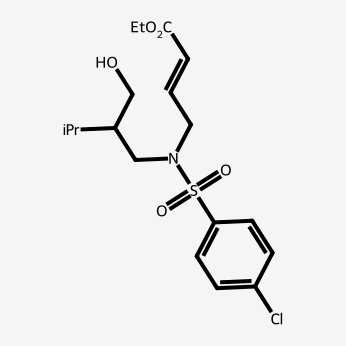 CCOC(=O)/C=C/CN(CC(CO)C(C)C)S(=O)(=O)c1ccc(Cl)cc1